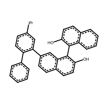 CC(C)c1ccc(-c2ccccc2)c(-c2ccc3ccc(O)c(-c4c(O)ccc5ccccc45)c3c2)c1